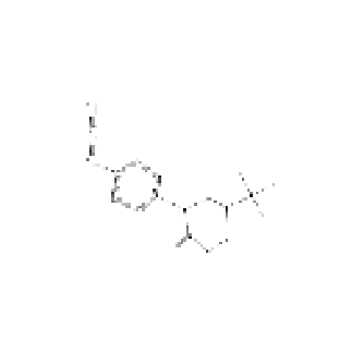 CC(C)(C)C1CCC(=O)C(c2ccc(N=[N+]=[N-])cc2)C1